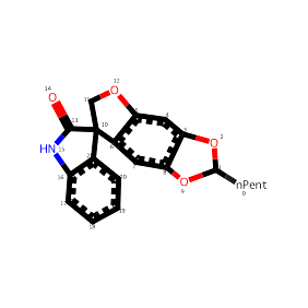 CCCCCC1Oc2cc3c(cc2O1)C1(CO3)C(=O)Nc2ccccc21